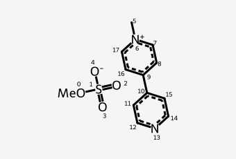 COS(=O)(=O)[O-].C[n+]1ccc(-c2ccncc2)cc1